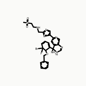 CS(=O)(=O)CCNCc1nc(-c2cc3c(cn2)N=CNC3(N)C2=CC=CC(F)(Br)C2OCc2ccccc2)cs1